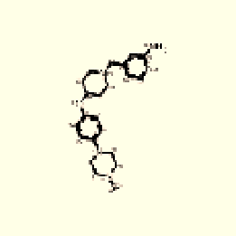 CC(C)N1CCN(c2ccc(OC3CCN(Cc4ccnc(N)c4)CC3)cc2)CC1